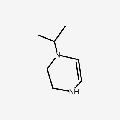 CC(C)N1C=CNCC1